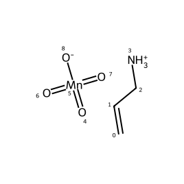 C=CC[NH3+].[O]=[Mn](=[O])(=[O])[O-]